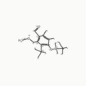 Cc1c(C)c(O[Si](C)(C)C(C)(C)C)c(C(C)(C)C)c(CO[SiH3])c1C=O